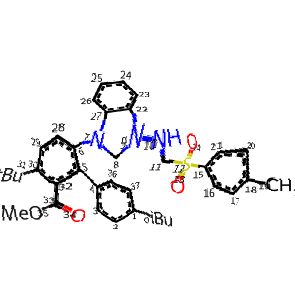 CCC(C)c1ccc(-c2c(N3CN(NCS(=O)(=O)c4ccc(C)cc4)c4ccccc43)ccc(C(C)(C)C)c2C(=O)OC)cc1